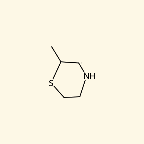 CC1[CH]NCCS1